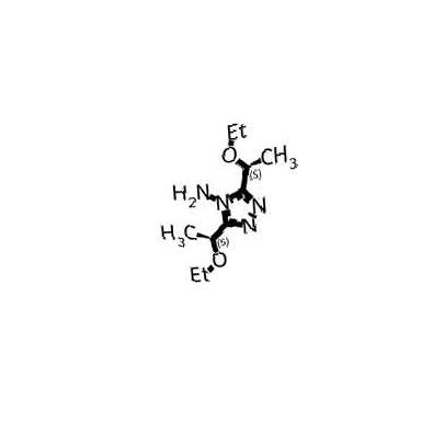 CCO[C@@H](C)c1nnc([C@H](C)OCC)n1N